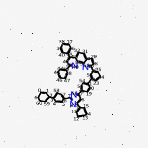 C1=CC(c2ccc(-c3nc(-c4ccccc4)cc(-c4ccc(-c5cccc(-c6ccc7ccc8c(-c9ccccc9)cc(-c9ccccc9)nc8c7n6)c5)cc4)n3)cc2)=CCC1